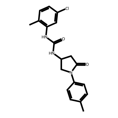 Cc1ccc(N2CC(NC(=O)Nc3cc(Cl)ccc3C)CC2=O)cc1